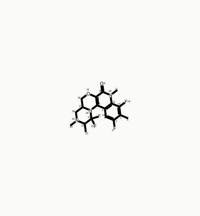 Cc1c(F)cc2c3c(c(=O)n(C)c2c1F)OCC1CN(C)C(C)C(F)(F)N31